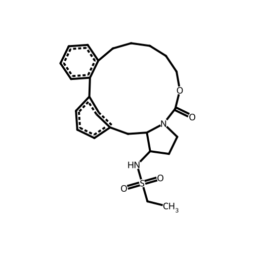 CCS(=O)(=O)NC1CCN2C(=O)OCCCCCc3ccccc3-c3cccc(c3)CC12